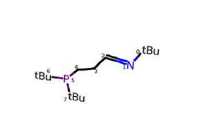 CC(C)(C)N=CCCP(C(C)(C)C)C(C)(C)C